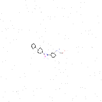 Cc1ccccc1-c1ccc(-c2nc(-c3cccc(CN(C)CC(=O)OC(C)(C)C)c3)no2)cc1C(F)(F)F